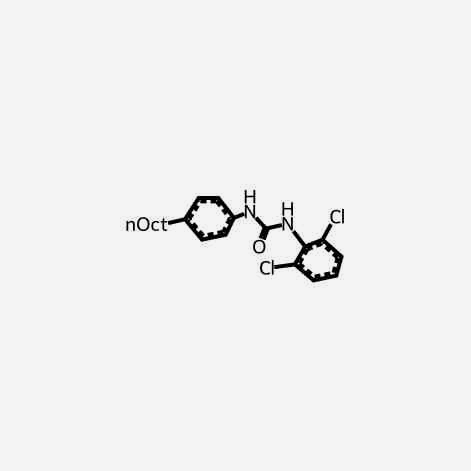 CCCCCCCCc1ccc(NC(=O)Nc2c(Cl)cccc2Cl)cc1